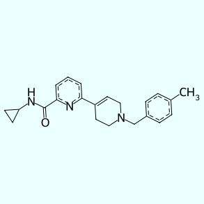 Cc1ccc(CN2CC=C(c3cccc(C(=O)NC4CC4)n3)CC2)cc1